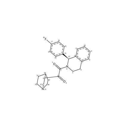 O=C(C(=O)N1CCc2ccccc2[C@@H]1c1ccc(F)cc1)C1CN2CCC1CC2